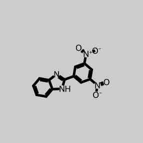 O=[N+]([O-])c1cc(-c2nc3ccccc3[nH]2)cc([N+](=O)[O-])c1